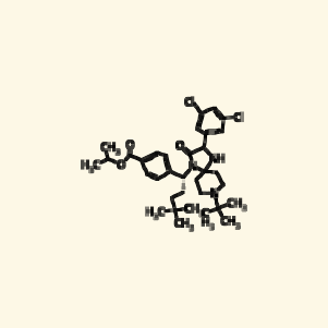 CC(C)OC(=O)c1ccc([C@@H](CCC(C)(C)C)N2C(=O)C(c3cc(Cl)cc(Cl)c3)NC23CCN(C(C)(C)C)CC3)cc1